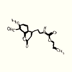 C=CCOC(=O)NCCc1cc(=O)oc2c(C=O)c(O)ccc12